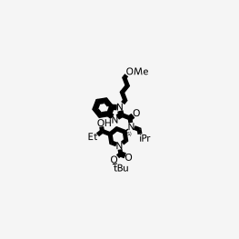 CCC(O)C1C[C@H](N(CC(C)C)C(=O)c2nc3ccccc3n2CCCCOC)CN(C(=O)OC(C)(C)C)C1